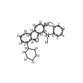 N#Cc1ccccc1N(I)c1cccc2c1oc1c(C3CCCCC3)cccc12